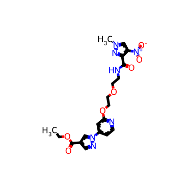 CCOC(=O)c1cnn(-c2ccnc(OCCOCCNC(=O)c3nn(C)cc3[N+](=O)[O-])c2)c1